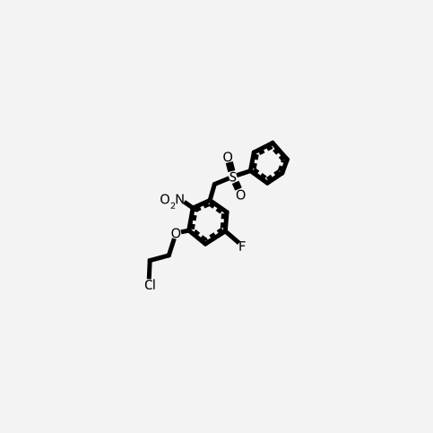 O=[N+]([O-])c1c(CS(=O)(=O)c2ccccc2)cc(F)cc1OCCCl